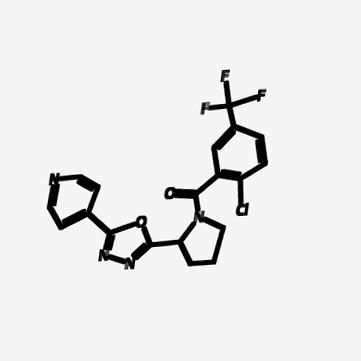 O=C(c1cc(C(F)(F)F)ccc1Cl)N1CCCC1c1nnc(-c2ccncc2)o1